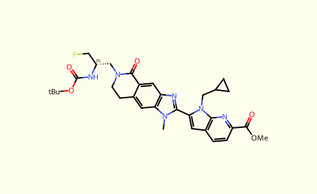 COC(=O)c1ccc2cc(-c3nc4cc5c(cc4n3C)CCN(C[C@@H](CF)NC(=O)OC(C)(C)C)C5=O)n(CC3CC3)c2n1